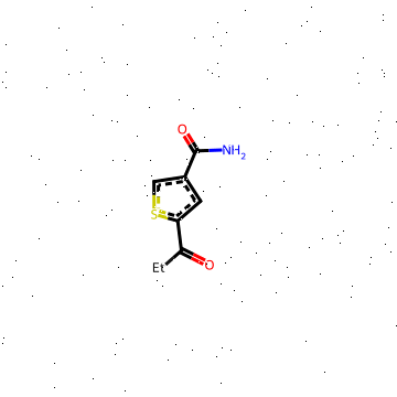 CCC(=O)c1cc(C(N)=O)cs1